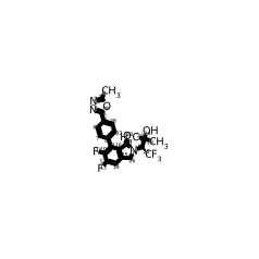 Cc1nnc(-c2ccc(-c3c(F)c(F)cc4c3C(=O)N([C@@H](C(C)(C)O)C(F)(F)F)C4)cc2)o1